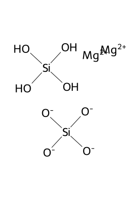 O[Si](O)(O)O.[Mg+2].[Mg+2].[O-][Si]([O-])([O-])[O-]